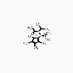 CC1=C(C)C(C)[C]([Ti]([SiH](C)C)[P](C(C)C)C(C)C)=C1C